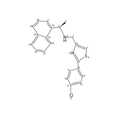 C[C@@H](NCc1csc(-c2ccc(Cl)cc2)n1)c1cccc2ccccc12